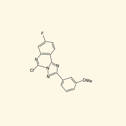 COc1cccc(-c2nc3c4ccc(F)cc4nc(Cl)n3n2)c1